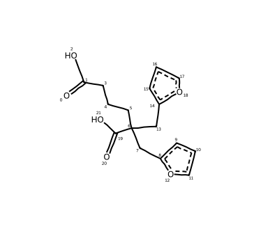 O=C(O)CCCC(Cc1ccco1)(Cc1ccco1)C(=O)O